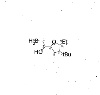 BCC(O)C1CC(C(C)(C)C)C(CC)O1